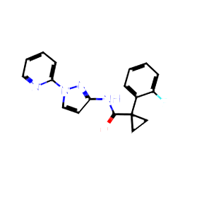 O=C(Nc1ccn(-c2ccccn2)n1)C1(c2ccccc2F)CC1